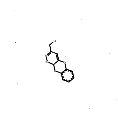 ClCC1=NNC2Oc3ccccc3OC2=C1